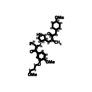 COCCCOc1cc(C(=O)N(C[C@@H]2CNCC2CN(C)C(=O)CC2CCC(OC)CC2)C(C)C)ccc1OC